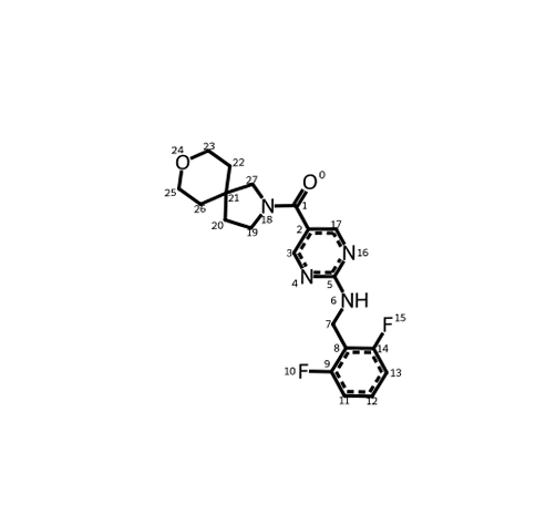 O=C(c1cnc(NCc2c(F)cccc2F)nc1)N1CCC2(CCOCC2)C1